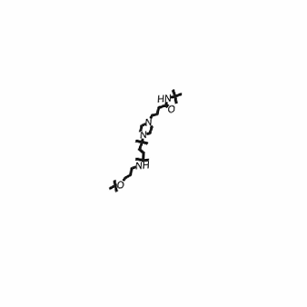 CC(C)(C)NC(=O)CCCN1CCN(C(C)(C)CCC(C)(C)NCCCOC(C)(C)C)CC1